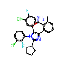 Cc1cccc(-c2nc(C3CCCC3)n(-c3cccc(Cl)c3F)c2-c2ccc(F)c(Cl)c2)c1C(N)=O